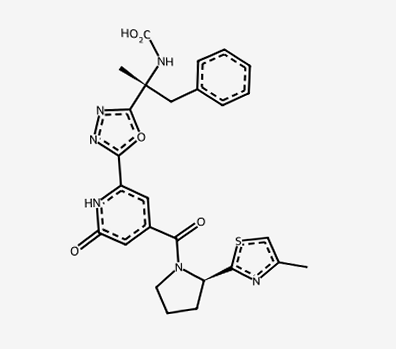 Cc1csc([C@H]2CCCN2C(=O)c2cc(-c3nnc([C@@](C)(Cc4ccccc4)NC(=O)O)o3)[nH]c(=O)c2)n1